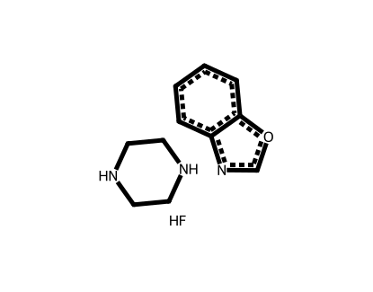 C1CNCCN1.F.c1ccc2ocnc2c1